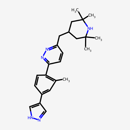 Cc1cc(-c2cn[nH]c2)ccc1-c1ccc(CC2CC(C)(C)NC(C)(C)C2)nn1